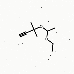 C#CC(C)(C)OC(C)OCC